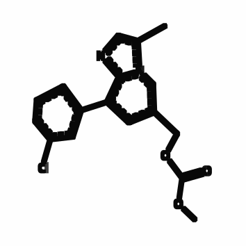 COC(=O)OCc1cc(-c2cccc(Cl)c2)c2ncc(C)n2c1